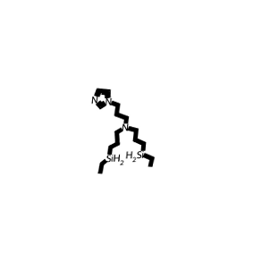 CC[SiH2]CCCN(CCC[SiH2]CC)CCCn1ccnc1